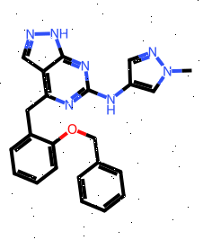 Cn1cc(Nc2nc(Cc3ccccc3OCc3ccccc3)c3cn[nH]c3n2)cn1